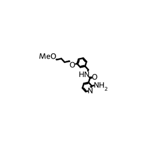 COCCCCOc1cccc(CNC(=O)c2cccnc2N)c1